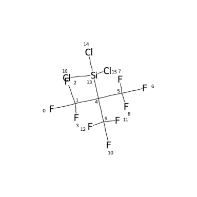 FC(F)(F)C(C(F)(F)F)(C(F)(F)F)[Si](Cl)(Cl)Cl